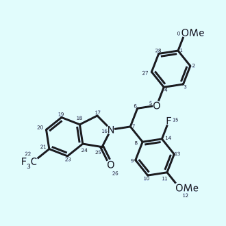 COc1ccc(OCC(c2ccc(OC)cc2F)N2Cc3ccc(C(F)(F)F)cc3C2=O)cc1